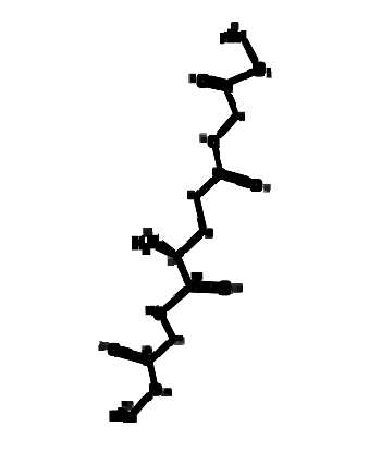 CCCCOC(=O)COC(=O)CC[C@H](N)C(=O)OCC(=O)OCCCC